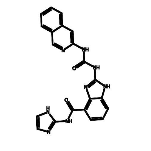 O=C(Nc1cc2ccccc2cn1)Nc1nc2c(C(=O)Nc3ncc[nH]3)cccc2[nH]1